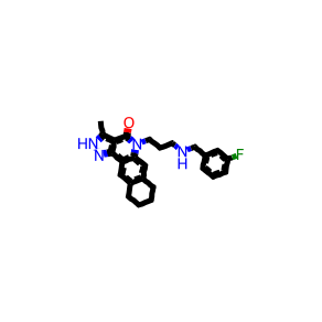 Cc1[nH]nc2c1c(=O)n(CCCNCc1cccc(F)c1)c1cc3c(cc21)CCCC3